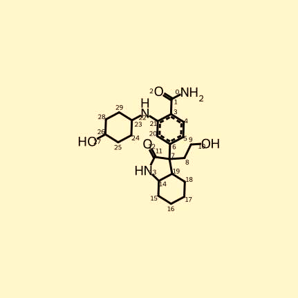 NC(=O)c1ccc(C2(CCO)C(=O)NC3CCCCC32)cc1NC1CCC(O)CC1